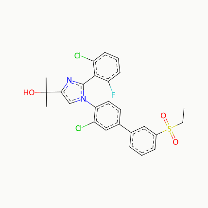 CCS(=O)(=O)c1cccc(-c2ccc(-n3cc(C(C)(C)O)nc3-c3c(F)cccc3Cl)c(Cl)c2)c1